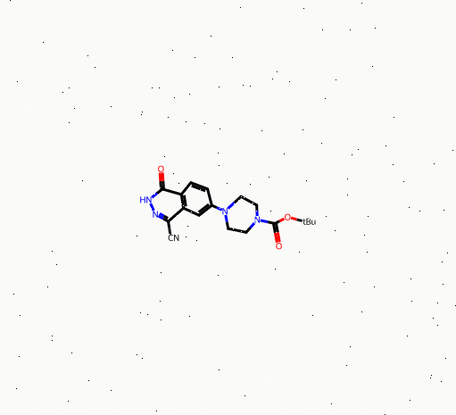 CC(C)(C)OC(=O)N1CCN(c2ccc3c(=O)[nH]nc(C#N)c3c2)CC1